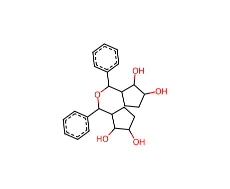 OC1CCC(C(OC(c2ccccc2)C2CCC(O)C2O)c2ccccc2)C1O